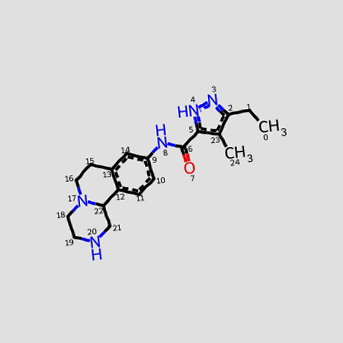 CCc1n[nH]c(C(=O)Nc2ccc3c(c2)CCN2CCNCC32)c1C